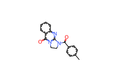 Cc1ccc(C(=O)N2CCn3c2nc2ccccc2c3=O)cc1